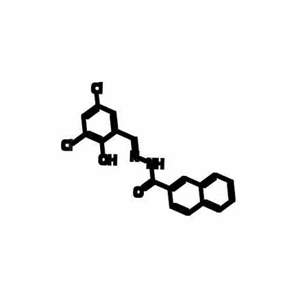 O=C(N/N=C/c1cc(Cl)cc(Cl)c1O)c1ccc2ccccc2c1